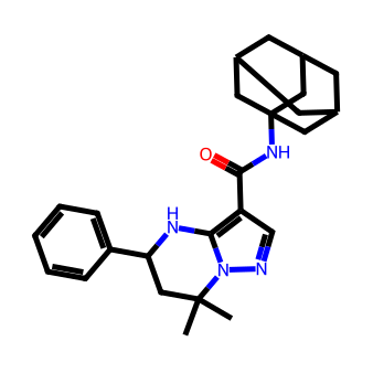 CC1(C)CC(c2ccccc2)Nc2c(C(=O)NC34CC5CC(CC(C5)C3)C4)cnn21